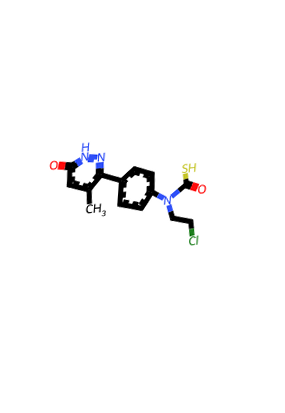 Cc1cc(=O)[nH]nc1-c1ccc(N(CCCl)C(=O)S)cc1